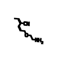 C/C=C(C#N)\C=C/COCCN